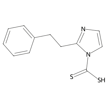 S=C(S)n1ccnc1CCc1ccccc1